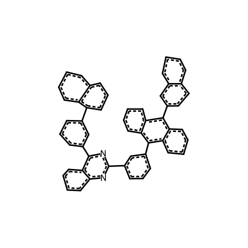 c1cc(-c2cccc3ccccc23)cc(-c2nc(-c3cccc(-c4c5ccccc5c(-c5ccc6ccccc6c5)c5ccccc45)c3)nc3ccccc23)c1